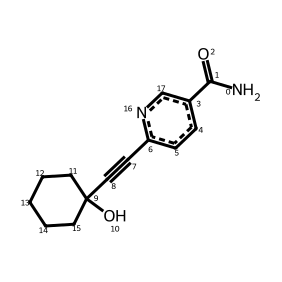 NC(=O)c1ccc(C#CC2(O)CCCCC2)nc1